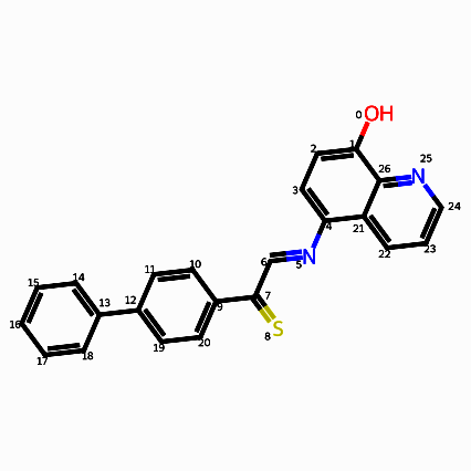 Oc1ccc(/N=C/C(=S)c2ccc(-c3ccccc3)cc2)c2cccnc12